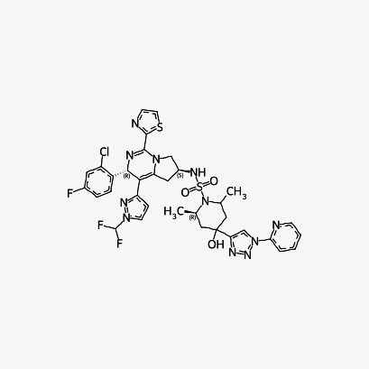 CC1CC(O)(c2cn(-c3ccccn3)nn2)C[C@@H](C)N1S(=O)(=O)N[C@H]1CC2=C(c3ccn(C(F)F)n3)[C@H](c3ccc(F)cc3Cl)N=C(c3nccs3)N2C1